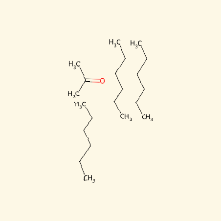 CC(C)=O.CCCCCC.CCCCCC.CCCCCC